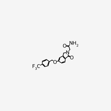 NC(=O)CN1Cc2cc(OCc3ccc(C(F)(F)F)cc3)ccc2C1=O